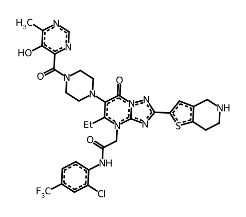 CCc1c(N2CCN(C(=O)c3ncnc(C)c3O)CC2)c(=O)n2nc(-c3cc4c(s3)CCNC4)nc2n1CC(=O)Nc1ccc(C(F)(F)F)cc1Cl